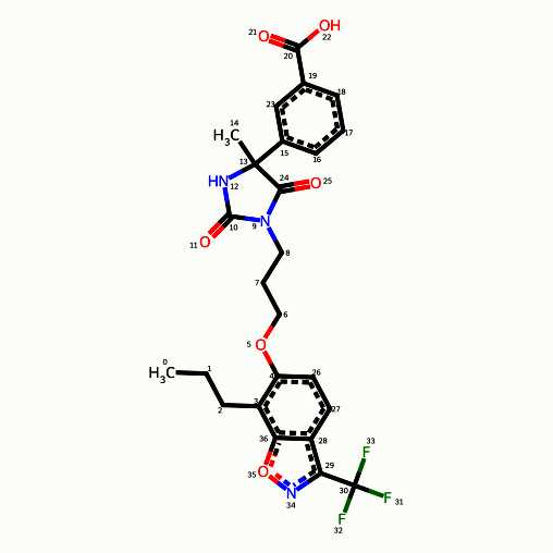 CCCc1c(OCCCN2C(=O)NC(C)(c3cccc(C(=O)O)c3)C2=O)ccc2c(C(F)(F)F)noc12